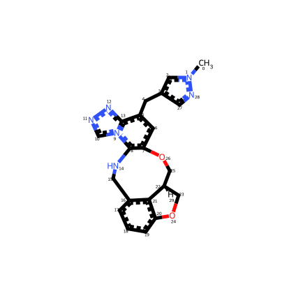 Cn1cc(Cc2cc3c(n4cnnc24)NCc2cccc4c2[C@H](CO4)CO3)cn1